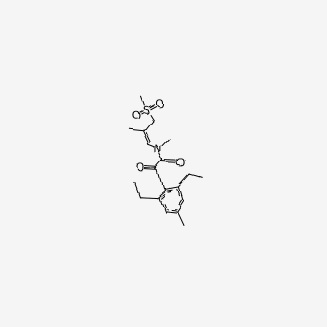 CCc1cc(C)cc(CC)c1C(=O)C(=O)N(C)C=C(C)CS(C)(=O)=O